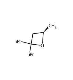 CC(C)C1(C(C)C)C[C@@H](C)O1